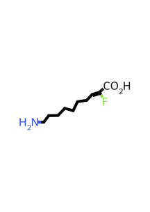 NCCCCCCC/C=C(\F)C(=O)O